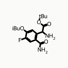 CC(C)COc1cc(C(N)C(=O)OC(C)(C)C)c(C(N)=O)cc1F